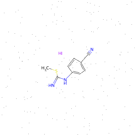 CSC(=N)Nc1ccc(C#N)cc1.I